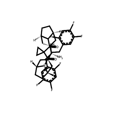 N[C@H](Cc1cc(F)c(F)cc1F)[C@@H]1C[C@H]2CC[C@@H](C1)C2C(=O)C1(C(=O)N2[C@@H]3CC[C@H]2C[C@H]([C@H](N)Cc2cc(F)c(F)cc2F)C3)CC1